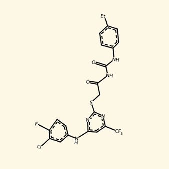 CCc1ccc(NC(=O)NC(=O)CSc2nc(Nc3ccc(F)c(Cl)c3)cc(C(F)(F)F)n2)cc1